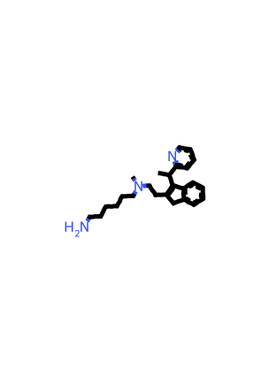 CC(C1=C(CCN(C)CCCCCCN)Cc2ccccc21)c1ccccn1